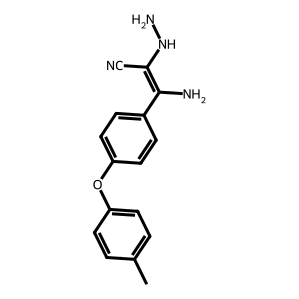 Cc1ccc(Oc2ccc(/C(N)=C(\C#N)NN)cc2)cc1